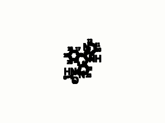 CC(=O)Nc1cc(-c2[nH]c3cccnc3c2-c2ccccc2)ccn1